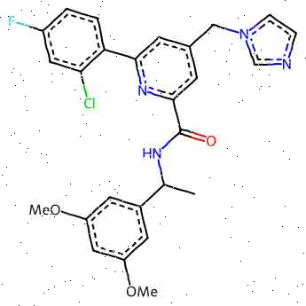 COc1cc(OC)cc(C(C)NC(=O)c2cc(Cn3ccnc3)cc(-c3ccc(F)cc3Cl)n2)c1